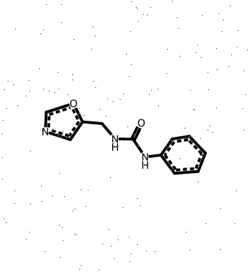 O=C(NCc1cnco1)Nc1ccccc1